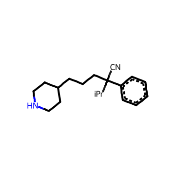 CC(C)C(C#N)(CCCC1CCNCC1)c1ccccc1